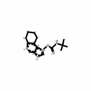 CC(C)(C)NC(=O)On1cnc2cnc3c(c21)CCCC3